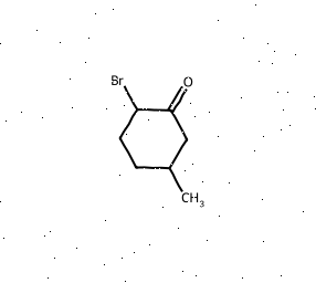 CC1CCC(Br)C(=O)C1